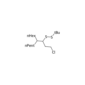 CCCCCCC(CCCCC)C(CCCl)SSC(C)(C)C